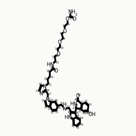 NC(=O)OCCOCCOCCOCCNC(=O)CCCCn1ccnc1Cn1ccc2ccc(CNCc3[nH]c4ccccc4c3C3NC(=O)c4ccc(O)cc43)cc21